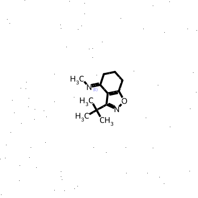 C/N=C1\CCCc2onc(C(C)(C)C)c21